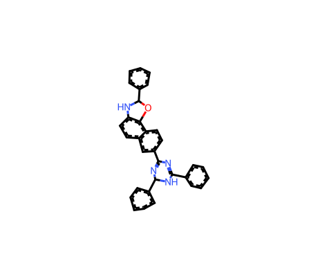 c1ccc(C2=NC(c3ccc4c5c(ccc4c3)NC(c3ccccc3)O5)=NC(c3ccccc3)N2)cc1